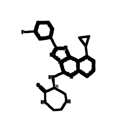 O=C1NCCNC[C@@H]1Nc1nc2cccc(C3CC3)c2c2nc(-c3cccc(F)c3)nn12